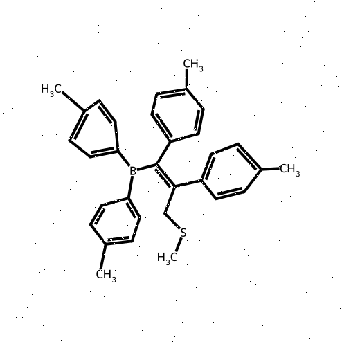 CSC/C(=C(\B(c1ccc(C)cc1)c1ccc(C)cc1)c1ccc(C)cc1)c1ccc(C)cc1